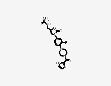 CC(=S)NCC1CN(c2ccc(N3CCN(C(=S)c4ncc[nH]4)CC3)c(F)c2)C(=O)O1